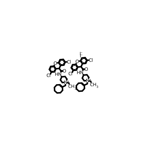 CC[N+]1(C/C2=C/CCCCCC2)CCC(NC(=O)C2c3cc(Cl)ccc3Oc3ccc(Cl)cc32)CC1.CC[N+]1(C/C2=C/CCCCCC2)CCC(NC(=O)C2c3cc(Cl)ccc3Oc3ccc(Cl)cc32)CC1.[I-].[I-]